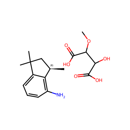 COC(C(=O)O)C(O)C(=O)O.C[C@@H]1CC(C)(C)c2cccc(N)c21